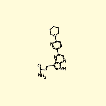 NC(=O)C=Cc1c[nH]c2ncc(-c3ccc(N4CCCCC4)nc3)nc12